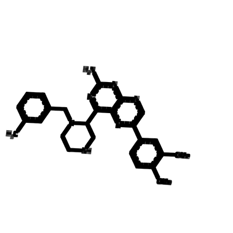 COc1ccc(-c2cnc3nc(N)nc(C4CNCCN4Cc4cccc(C)c4)c3n2)cc1OC